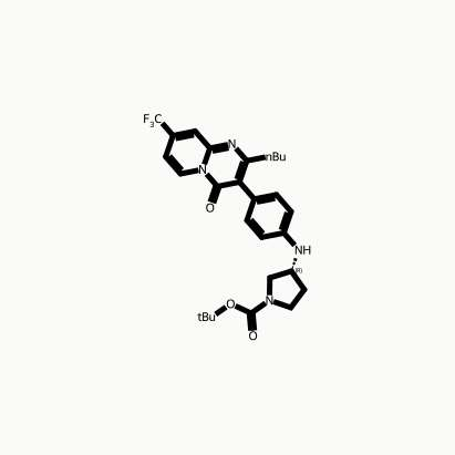 CCCCc1nc2cc(C(F)(F)F)ccn2c(=O)c1-c1ccc(N[C@@H]2CCN(C(=O)OC(C)(C)C)C2)cc1